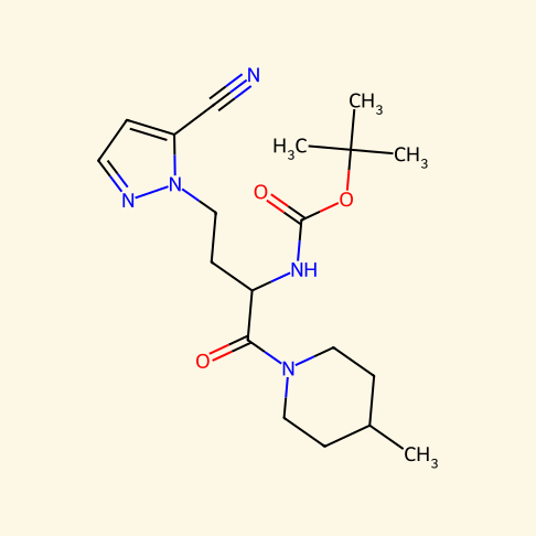 CC1CCN(C(=O)C(CCn2nccc2C#N)NC(=O)OC(C)(C)C)CC1